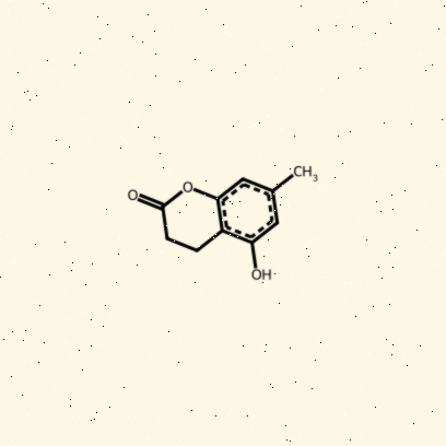 Cc1cc(O)c2c(c1)OC(=O)CC2